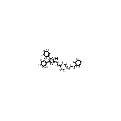 c1ccc(CCCN2CCC(CCc3nc(-c4ccccc4)c(-c4ccccc4)[nH]3)CC2)cc1